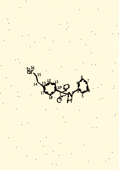 O=S(=O)(Nc1ccccc1)c1ccc(CCBr)cc1